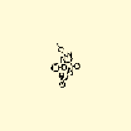 CS(=O)(=O)C=C1CN(C(=O)c2cnc([C@H]3C[C@H](C)C3)nc2Oc2ccccc2)C1